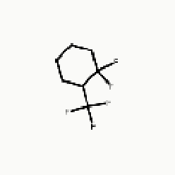 FC(F)(F)C1CCCCC1(F)F